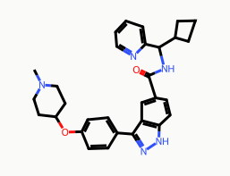 CN1CCC(Oc2ccc(-c3n[nH]c4ccc(C(=O)NC(c5ccccn5)C5CCC5)cc34)cc2)CC1